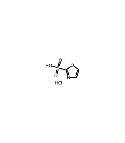 Cl.O=S(=O)(O)c1ncco1